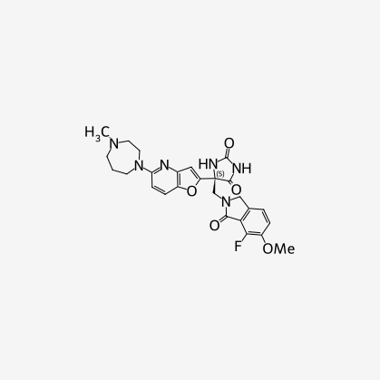 COc1ccc2c(c1F)C(=O)N(C[C@@]1(c3cc4nc(N5CCCN(C)CC5)ccc4o3)NC(=O)NC1=O)C2